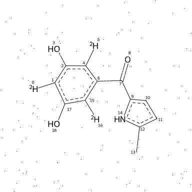 [2H]c1c(O)c([2H])c(C(=O)c2ccc(C)[nH]2)c([2H])c1O